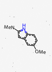 CNc1cc2cc(OC)ccc2[nH]1